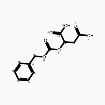 O=C(O)CC(OC(=O)OCc1ccccc1)C(=O)O